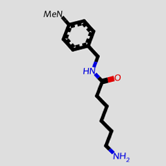 CNc1ccc(CNC(=O)CCCCCN)cc1